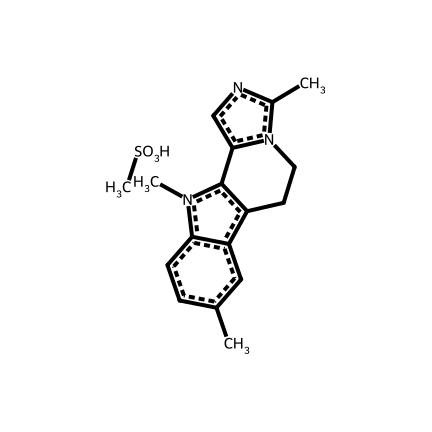 CS(=O)(=O)O.Cc1ccc2c(c1)c1c(n2C)-c2cnc(C)n2CC1